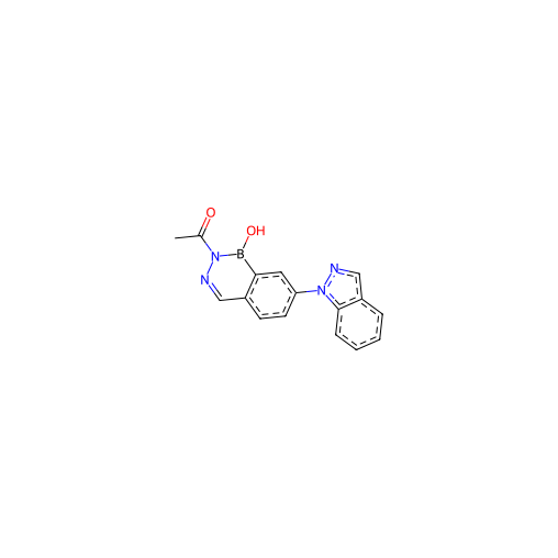 CC(=O)N1N=Cc2ccc(-n3ncc4ccccc43)cc2B1O